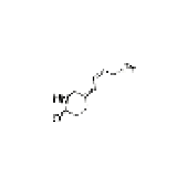 CC(C)C/C=C\C=C1\CCC(=O)NC1